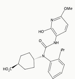 COc1ccc(NC(=O)N(c2ccccc2C(C)C)[C@H]2CC[C@H](C(=O)O)CC2)c(O)n1